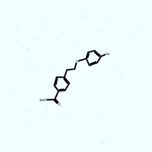 COC(=O)c1ccc(CCOc2ccc(C#N)cc2)cc1